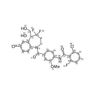 COc1cc(C(=O)N2CCC(F)(F)[C@](O)(CO)c3cc(Cl)ccc32)ccc1NC(=O)c1c(F)cccc1Cl